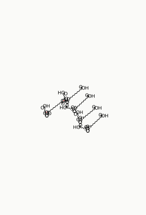 O=C(O)CCCCCCCCCCCOc1ccccc1S(=O)(=O)CCCC(=O)O.O=C(O)CCCCCCCCCCCOc1ccccc1[S+]([O-])CCCC(=O)O.O=C(O)CCCCCCCCCCCS(=O)(=O)c1ccccc1OCCCC(=O)O.O=C(O)CCCCCCCCCCC[S+]([O-])c1ccccc1OCCCC(=O)O.O=C(O)CCCCCCCCCCC[S+]([O-])c1ccccc1[S+]([O-])CCCC(=O)O